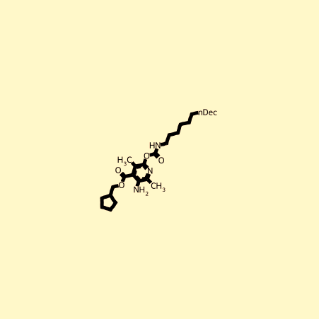 CCCCCCCCCCCCCCCCNC(=O)Oc1nc(C)c(N)c(C(=O)OCC2CCCC2)c1C